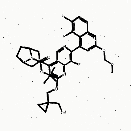 COCOc1cc(-c2ncc3c(N4CC5CCC(C4)N5C(=O)OC(C)(C)C)nc(OCC4(CO)CC4)nc3c2F)c2c(F)c(F)ccc2c1